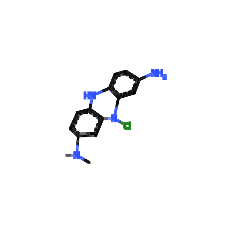 CN(C)c1ccc2c(c1)N(Cl)c1cc(N)ccc1N2